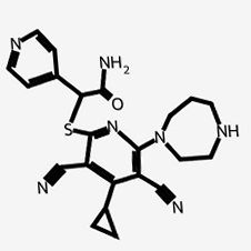 N#Cc1c(SC(C(N)=O)c2ccncc2)nc(N2CCCNCC2)c(C#N)c1C1CC1